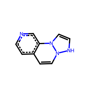 C1=CN2c3cnccc3C=CN2N1